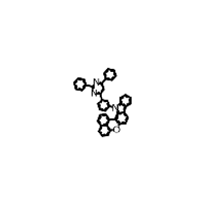 c1ccc(-c2cc(-c3cccc(-n4c5ccccc5c5ccc6c(c54)-c4cccc5cccc(c45)O6)c3)nc(-c3ccccc3)n2)cc1